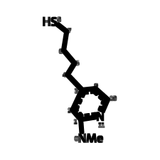 [CH]Nc1cc(CCCCS)ccn1